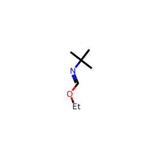 CCOC=NC(C)(C)C